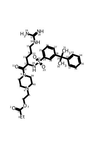 CCC(=O)OCCN1CCN(C(=O)C(CCCNC(=N)N)NS(=O)(=O)c2cccc(C(C)(C)c3ccccc3)c2)CC1